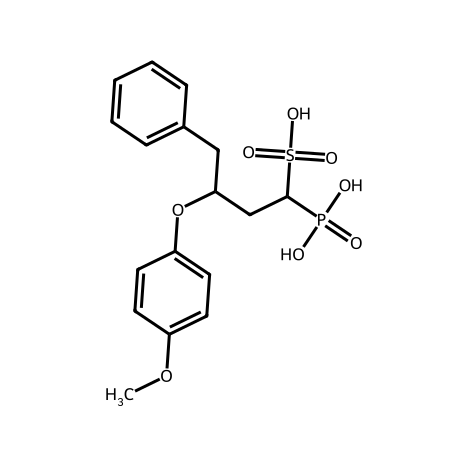 COc1ccc(OC(Cc2ccccc2)CC(P(=O)(O)O)S(=O)(=O)O)cc1